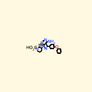 CC(C)(C)C1C(n2nc(-c3ccc(Oc4ccccc4)cc3)c3c(N)ncnc32)CCCN1C(=O)O